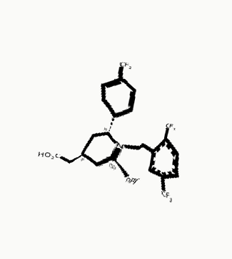 CCC[C@H]1C[C@@H](CC(=O)O)C[C@H](C2C=CC(C(F)(F)F)=CC2)N1Cc1cc(C(F)(F)F)ccc1C(F)(F)F